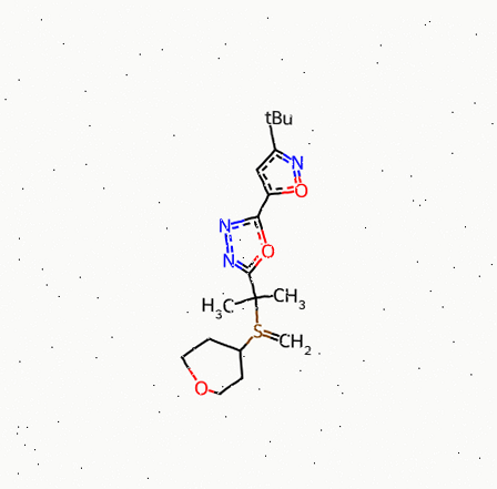 C=S(C1CCOCC1)C(C)(C)c1nnc(-c2cc(C(C)(C)C)no2)o1